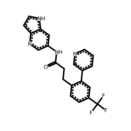 O=C(CCc1ccc(C(F)(F)F)cc1-c1cccnc1)Nc1cnc2cc[nH]c2c1